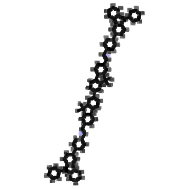 CC1(C)c2cc(/C=C/c3ccc(-c4ccc5c(c4)c4ccccc4n5-c4ccccc4)cc3)ccc2-c2ccc(-c3ccc4c(c3)C(C)(C)c3cc(/C=C/c5ccc(-c6ccc7c(c6)c6ccccc6n7-c6ccccc6)cc5)ccc3-4)cc21